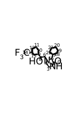 O=C1NCCN(CC(O)c2cccc(C(F)(F)F)c2)C1c1ccccc1